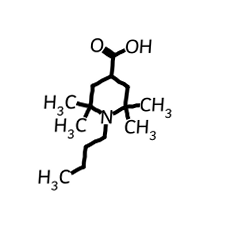 CCCCN1C(C)(C)CC(C(=O)O)CC1(C)C